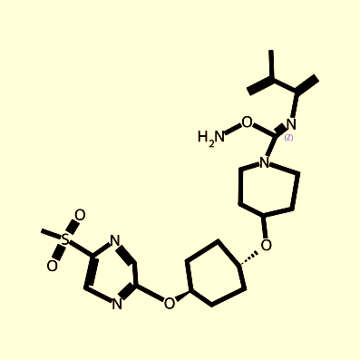 C=C(C)C(=C)/N=C(\ON)N1CCC(O[C@H]2CC[C@H](Oc3cnc(S(C)(=O)=O)cn3)CC2)CC1